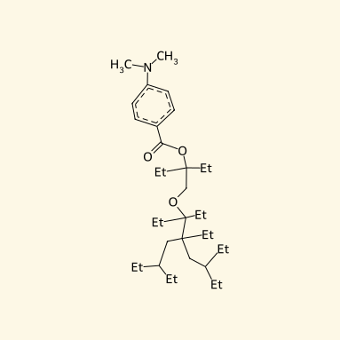 CCC(CC)CC(CC)(CC(CC)CC)C(CC)(CC)OCC(CC)(CC)OC(=O)c1ccc(N(C)C)cc1